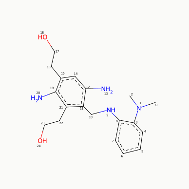 CN(C)c1ccccc1NCc1c(N)cc(CCO)c(N)c1CCO